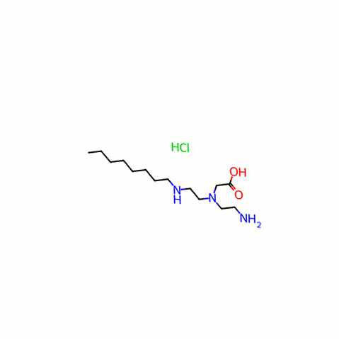 CCCCCCCCNCCN(CCN)CC(=O)O.Cl